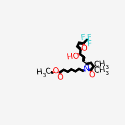 CCOC(=O)CCCCCCN1C(=O)C(C)(C)C[C@@H]1C=CC(O)c1ccc(C(F)(F)F)o1